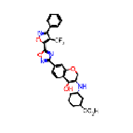 O=C(O)[C@H]1CCC[C@H](N[C@@H]2COc3cc(-c4noc(-c5onc(-c6ccccc6)c5C(F)(F)F)n4)ccc3[C@@H]2O)C1